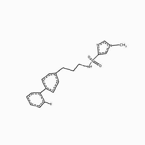 Cn1cnc(S(=O)(=O)NCCCc2ccc(-c3ccccc3F)cc2)c1